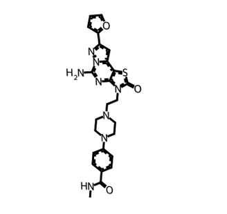 CNC(=O)c1ccc(N2CCN(CCn3c(=O)sc4c3nc(N)n3nc(-c5ccco5)cc43)CC2)cc1